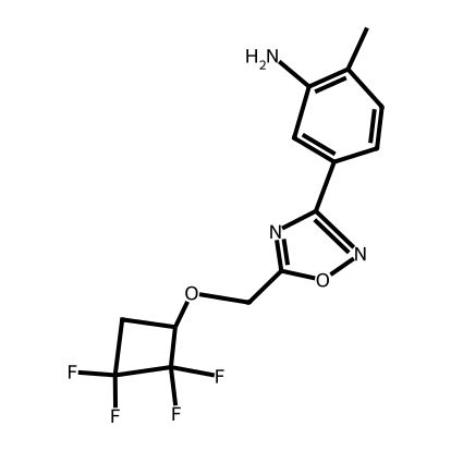 Cc1ccc(-c2noc(COC3CC(F)(F)C3(F)F)n2)cc1N